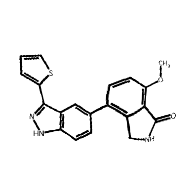 COc1ccc(-c2ccc3[nH]nc(-c4cccs4)c3c2)c2c1C(=O)NC2